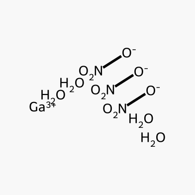 O.O.O.O.O=[N+]([O-])[O-].O=[N+]([O-])[O-].O=[N+]([O-])[O-].[Ga+3]